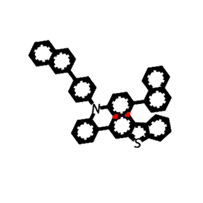 c1ccc(N(c2ccc(-c3ccc4ccccc4c3)cc2)c2ccc(-c3cccc4ccccc34)cc2)c(-c2ccc3c(c2)sc2ccccc23)c1